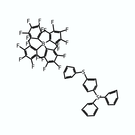 Fc1c(F)c(F)c([B-](c2c(F)c(F)c(F)c(F)c2F)(c2c(F)c(F)c(F)c(F)c2F)c2c(F)c(F)c(F)c(F)c2F)c(F)c1F.c1ccc(Sc2ccc([S+](c3ccccc3)c3ccccc3)cc2)cc1